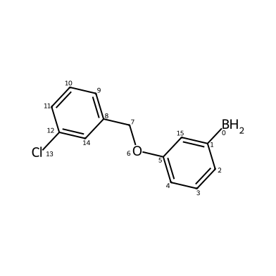 Bc1cccc(OCc2cccc(Cl)c2)c1